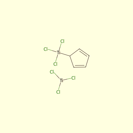 [Cl][Ti]([Cl])([Cl])[CH]1C=CC=C1.[Cl][Ti]([Cl])[Cl]